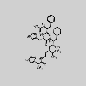 CC(C)[C@@H](CCNC(=O)[C@@H](C)c1c[nH]cn1)C[C@H](O)[C@H](CC1CCCCC1)NC(=O)[C@H](Cc1c[nH]cn1)NC(=O)C(Cc1ccccc1)NC(=O)O